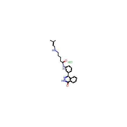 CC(C)=CCNCCCCC(=O)Nc1cccc(-c2n[nH]c(=O)c3ccccc23)c1.Cl